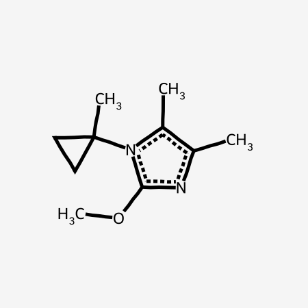 COc1nc(C)c(C)n1C1(C)CC1